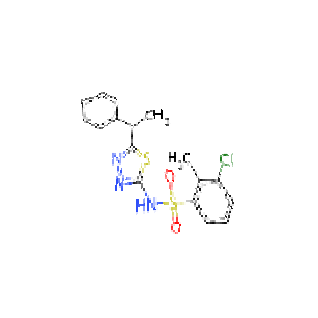 Cc1c(Cl)cccc1S(=O)(=O)Nc1nnc(C(C)c2ccccc2)s1